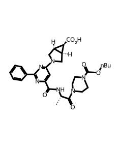 CCCCOC(=O)N1CCN(C(=O)[C@H](C)NC(=O)c2cc(N3C[C@@H]4[C@H](C3)[C@@H]4C(=O)O)nc(-c3ccccc3)n2)CC1